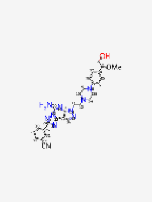 CO[C@H](CO)c1ccc(N2CCN(CCn3ncc4c3nc(N)n3nc(-c5cccc(C#N)c5)nc43)CC2)cc1